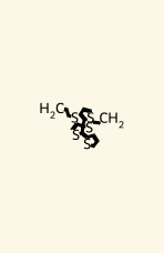 C=CCSC1=CSC(=C2C=CCS2)C1(SCC=C)c1cccs1